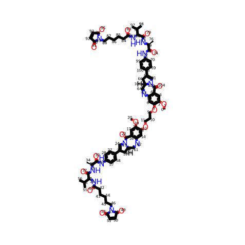 COc1cc2c(cc1OCCCOc1cc3c(cc1OC)C(=O)N1C=C(c4ccc(NC(=O)[C@H](C)NC(=O)[C@@H](NC(=O)CCCCCN5C(=O)C=CC5=O)C(C)C)cc4)C[C@H]1C=N3)N=C[C@@H]1CC(c3ccc(NC(=O)[C@H](C)NC(=O)[C@@H](NC(=O)CCCCCN4C(=O)C=CC4=O)C(C)C)cc3)=CN1C2=O